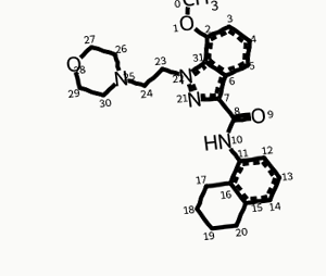 COc1cccc2c(C(=O)Nc3cccc4c3CCCC4)nn(CCN3CCOCC3)c12